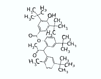 CC(=O)C(c1cc(C(C)(C)C)ccc1C)c1cc(C(C)(C)C)ccc1OC(=O)c1cc(C(C)(C)C)c(O)c(C(C)(C)C)c1